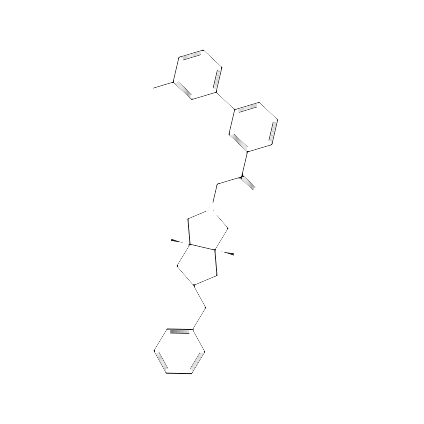 O=C(CN1C[C@@H]2C[C@@](O)(Cc3ccccc3)C[C@@H]2C1)c1cccc(-c2cccc(F)c2)c1